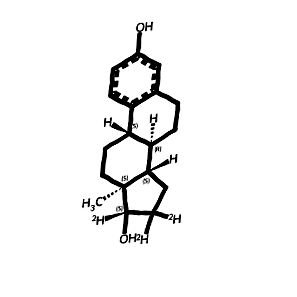 [2H]C1([2H])C[C@H]2[C@@H]3CCc4cc(O)ccc4[C@H]3CC[C@]2(C)[C@@]1([2H])O